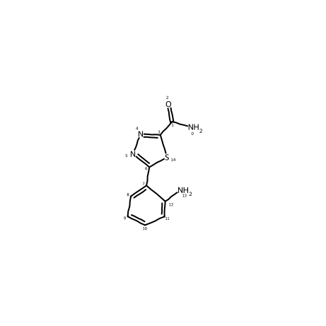 NC(=O)c1nnc(-c2ccccc2N)s1